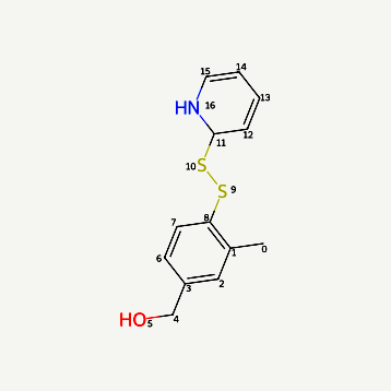 Cc1cc(CO)ccc1SSC1C=CC=CN1